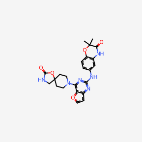 CC1(C)Oc2ccc(Nc3nc(N4CCC5(CC4)CNC(=O)O5)c4occc4n3)cc2NC1=O